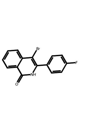 O=c1[nH]c(-c2ccc(F)cc2)c(Br)c2ccccc12